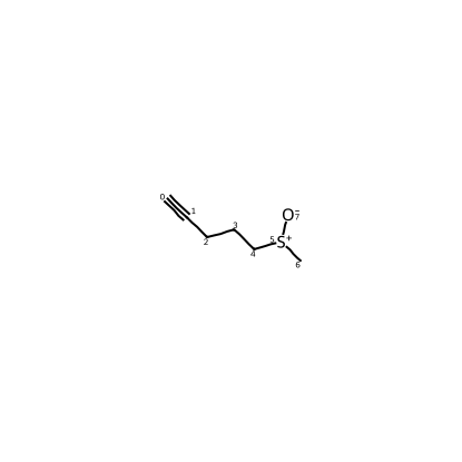 C#CCCC[S+](C)[O-]